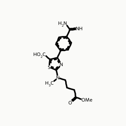 COC(=O)CCCN(C)c1nc(-c2ccc(C(=N)N)cc2)c(C(=O)O)s1